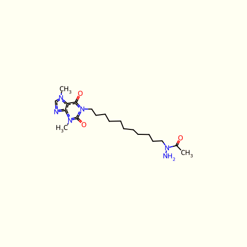 CC(=O)N(N)CCCCCCCCCCCn1c(=O)c2c(ncn2C)n(C)c1=O